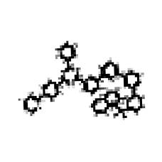 CC1(C)c2cccc(-c3cccc(-c4cccc(-c5cccc(-c6nc(-c7ccccc7)nc(-c7ccc(-c8ccccn8)cc7)n6)c5)c4)c3)c2-c2ccc3ccccc3c21